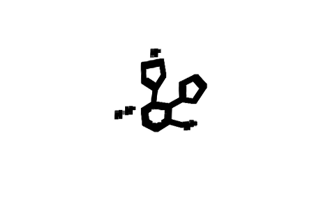 [H-].[H-].[H-].[Ti+3][c]1cccc(C2=CC=CC2)c1C1=CC=CC1